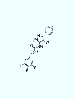 O=C(NCc1cc(F)c(F)c(F)c1)Nc1[nH]nc(-c2ccncc2)c1Cl